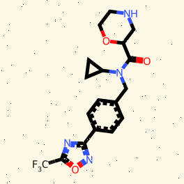 O=C(C1CNCCO1)N(Cc1ccc(-c2noc(C(F)(F)F)n2)cc1)C1CC1